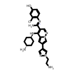 NCCn1cc(-c2cc3c(N[C@H]4CC[C@H](N)CC4)c(/C(N)=N/c4ccc(O)cc4Cl)cnn3c2)cn1